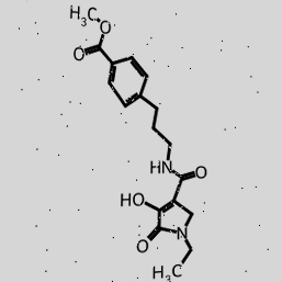 CCN1CC(C(=O)NCCCc2ccc(C(=O)OC)cc2)=C(O)C1=O